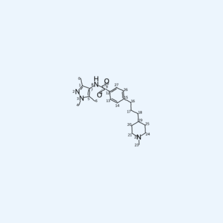 Cc1nn(C)c(C)c1NS(=O)(=O)c1ccc(CCCC2CCN(C)CC2)cc1